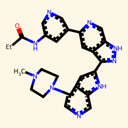 CCC(=O)Nc1cncc(-c2cc3c(-c4cc5c(N6CCN(C)CC6)cncc5[nH]4)n[nH]c3cn2)c1